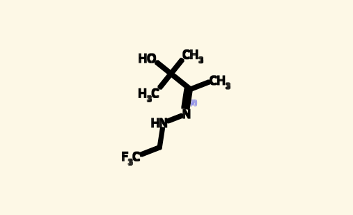 C/C(=N/NCC(F)(F)F)C(C)(C)O